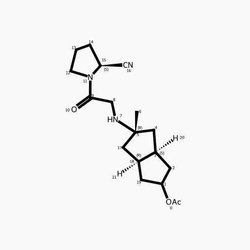 CC(=O)OC1C[C@@H]2C[C@@](C)(NCC(=O)N3CCC[C@H]3C#N)C[C@@H]2C1